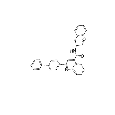 O=C[C@H](Cc1ccccc1)NC(=O)c1cc(-c2ccc(-c3ccccc3)cc2)nc2ccccc12